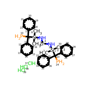 C[Si](C)([NH][Zr][NH][Si](C)(C)C(P)(c1ccccc1)c1ccccc1)C(P)(c1ccccc1)c1ccccc1.Cl.Cl.Cl